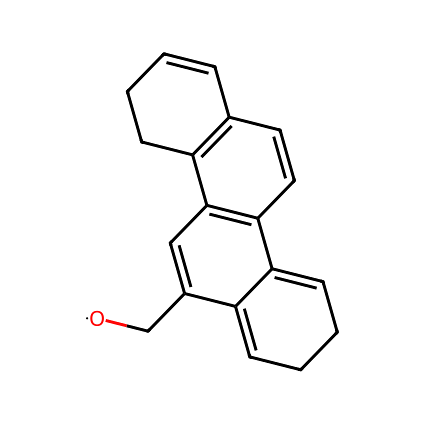 [O]Cc1cc2c3c(ccc2c2c1=CCCC=2)C=CCC3